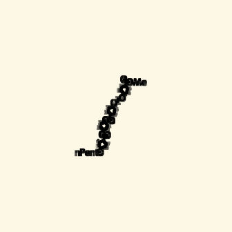 CCCCCOc1ccc(C(=O)Oc2ccc(OC(=O)c3ccc(OCCOc4ccc(C(=O)OC)cc4)cc3)cc2)cc1